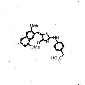 COc1cc2cccc(OC)c2cc1C=C1SC(Nc2ccc(CC(=O)O)cc2)=NC1=O